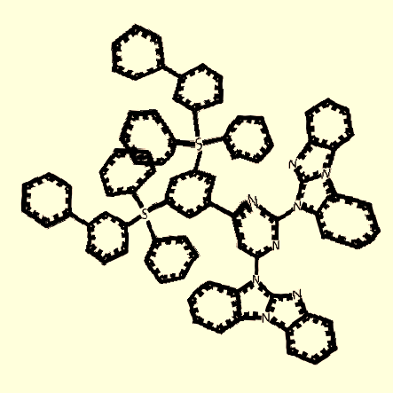 c1ccc(-c2cccc(S(c3ccccc3)(c3ccccc3)c3cc(-c4cc(-n5c6ccccc6n6c7ccccc7nc56)nc(-n5c6ccccc6n6c7ccccc7nc56)n4)cc(S(c4ccccc4)(c4ccccc4)c4cccc(-c5ccccc5)c4)c3)c2)cc1